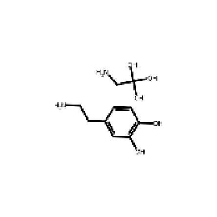 NCC(O)(O)O.NCCc1ccc(O)c(O)c1